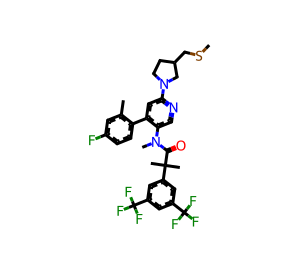 CSCC1CCN(c2cc(-c3ccc(F)cc3C)c(N(C)C(=O)C(C)(C)c3cc(C(F)(F)F)cc(C(F)(F)F)c3)cn2)C1